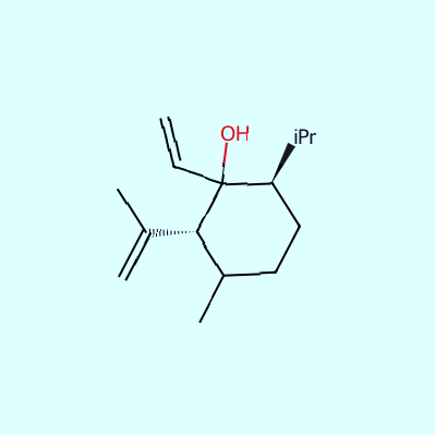 C=CC1(O)[C@@H](C(C)C)CCC(C)[C@@H]1C(=C)C